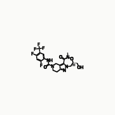 CN1O[C@H](CO)Cn2nc3c(c2C1=O)CN(C(=O)Nc1cc(C(F)(F)F)c(F)cc1F)CC3